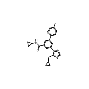 Cc1ccc(-c2cc(C(=O)NC3CC3)cc(-n3nnnc3CC3CC3)c2)nc1